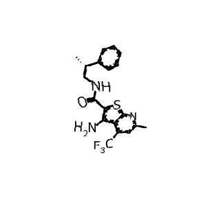 Cc1cc(C(F)(F)F)c2c(N)c(C(=O)NC[C@H](C)c3ccccc3)sc2n1